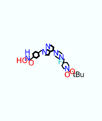 CC(C)(C)OC(=O)N1CCC(F)(CN2CCN(c3ccnc4c3ccn4Cc3ccc(C(=O)NO)cc3)CC2)CC1